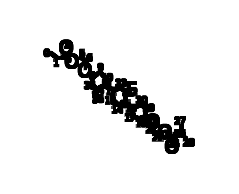 C=CC(=O)O/C=C\Oc1ccc(-c2ccc(-c3ccc(O/C=C\OC(=O)C(=C)C)cc3)c(F)c2)c(F)c1